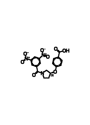 O=C(O)c1ccc(O[C@H]2CCN(C(=O)c3cc([N+](=O)[O-])cc([N+](=O)[O-])c3)C2)cc1